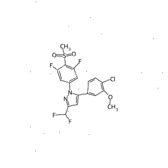 COc1cc(-c2cc(C(F)F)nn2-c2cc(F)c(S(C)(=O)=O)c(F)c2)ccc1Cl